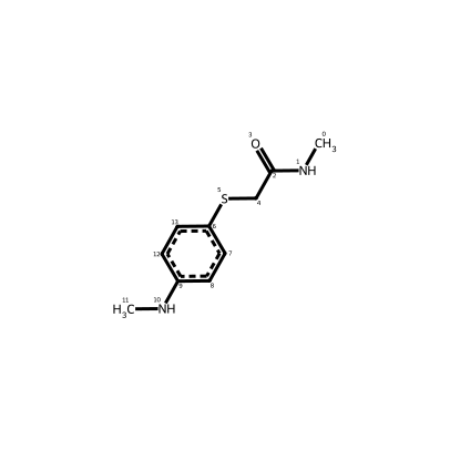 CNC(=O)CSc1ccc(NC)cc1